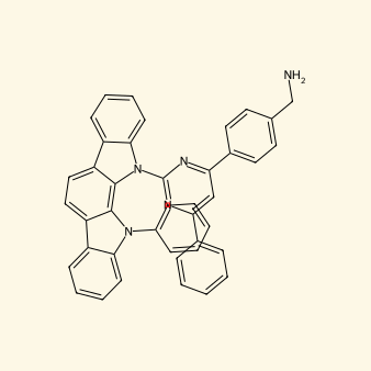 NCc1ccc(-c2cc(-c3ccccc3)nc(-n3c4ccccc4c4ccc5c6ccccc6n(-c6ccccc6)c5c43)n2)cc1